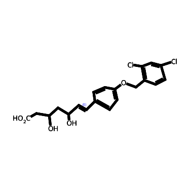 O=C(O)CC(O)CC(O)/C=C/c1ccc(OCc2ccc(Cl)cc2Cl)cc1